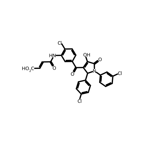 O=C(O)C=CC(=O)Nc1cc(C(=O)C2=C(O)C(=O)N(c3cccc(Cl)c3)C2c2ccc(Cl)cc2)ccc1Cl